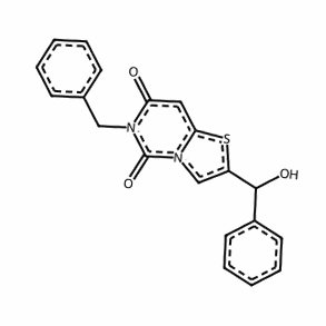 O=c1cc2sc(C(O)c3ccccc3)cn2c(=O)n1Cc1ccccc1